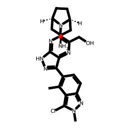 Cc1c(-c2n[nH]c3nc(N4[C@@H]5CC[C@H]4C[C@@H](N)C5)c(CO)nc23)ccc2nn(C)c(Cl)c12